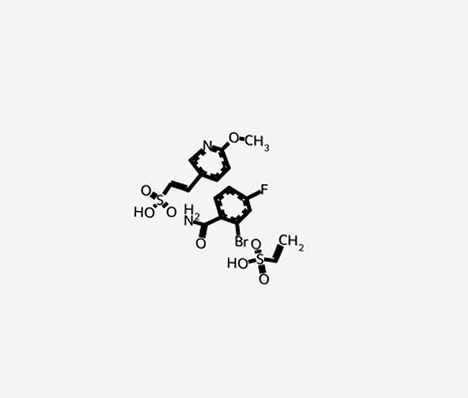 C=CS(=O)(=O)O.COc1ccc(/C=C/S(=O)(=O)O)cn1.NC(=O)c1ccc(F)cc1Br